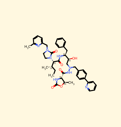 CC[C@H](C)[C@@H](C(=O)N[C@@H](Cc1ccccc1)[C@@H](O)CN(Cc1ccc(-c2ccccn2)cc1)NC(=O)[C@H]1NC(=O)O[C@@H]1C)N1CCN(Cc2cccc(C)n2)C1=O